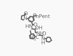 CCCCCOc1cc(C(=O)N[C@@H](Cc2ccccc2)[C@@H](O)CN[C@@H](C)C(=O)NC2CCCCC2)cc(N2CCCC2=O)c1